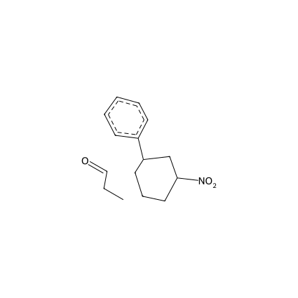 CCC=O.O=[N+]([O-])C1CCCC(c2ccccc2)C1